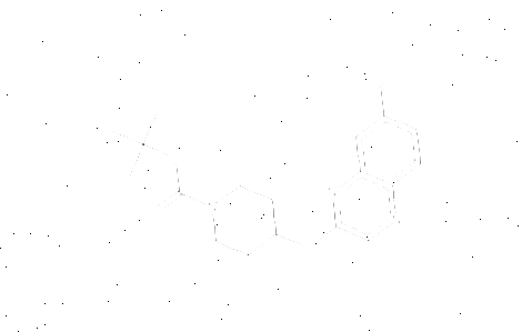 CC(C)(C)OC(=O)N1CCC(Oc2cnc3ccc(Br)cc3n2)CC1